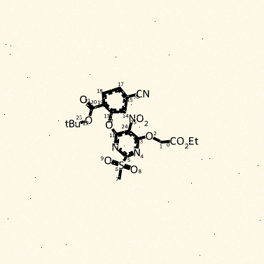 CCOC(=O)COc1nc(S(C)(=O)=O)nc(Oc2cc(C#N)ccc2C(=O)OC(C)(C)C)c1[N+](=O)[O-]